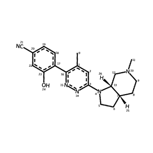 Cc1cc(N2CC[C@H]3CCN(C)C[C@H]32)nnc1-c1ccc(C#N)cc1O